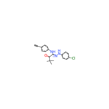 C#Cc1ccc(N/C(=N\Nc2ccc(Cl)cc2)C(=O)C(C)(C)C)cc1